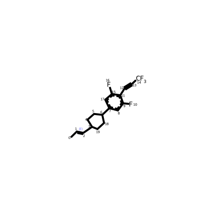 C/C=C/C1CCC(c2cc(F)c(C#CC(F)(F)F)c(F)c2)CC1